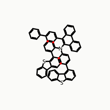 c1ccc(-c2ccc(-c3c(N(c4ccc(-c5cccc6sc7ccccc7c56)cc4)c4ccccc4-c4cccc5c4sc4ccccc45)c4ccccc4c4ccccc34)cc2)cc1